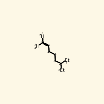 [2H]C([2H])=CCCCC(CC)CC